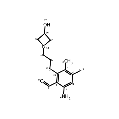 Cc1c(F)cc(N)c(C=O)c1SCCN1CC(O)C1